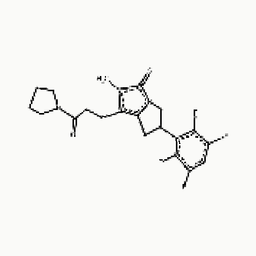 Cn1c(CCC(=O)N2CCCC2)c2n(c1=S)CC(c1c(F)c(F)cc(F)c1F)C2